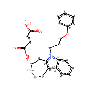 O=C(O)C=CC(=O)O.c1ccc(OCCCn2c3c(c4ccccc42)CCNCC3)cc1